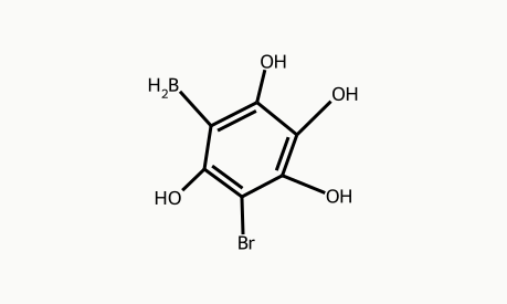 Bc1c(O)c(O)c(O)c(Br)c1O